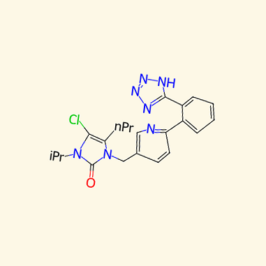 CCCc1c(Cl)n(C(C)C)c(=O)n1Cc1ccc(-c2ccccc2-c2nnn[nH]2)nc1